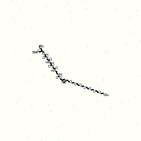 CC(C)(C)CCOCCOCCOCCOCCOCCOCCOCCn1cc(COC(=O)NCCNC(=O)CNC(=O)CNC(=O)CNC(=O)CON=C(CSC(C)(C)C)CSC(C)(C)C)nn1